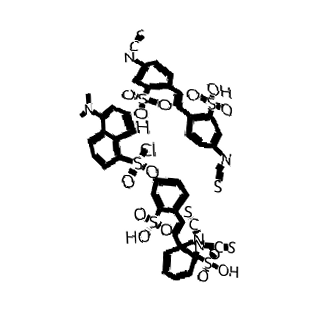 CN(C)c1cccc2c(S(=O)(=O)Cl)cccc12.O=S(=O)(O)c1cc(N=C=S)ccc1C=Cc1ccc(N=C=S)cc1S(=O)(=O)O.O=S(=O)(O)c1ccccc1C=CC1(N=C=S)C=CC=CC1(N=C=S)S(=O)(=O)O